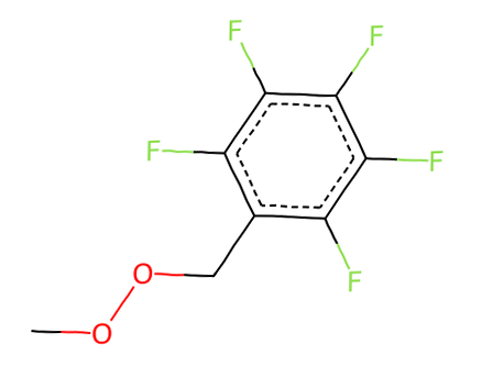 COOCc1c(F)c(F)c(F)c(F)c1F